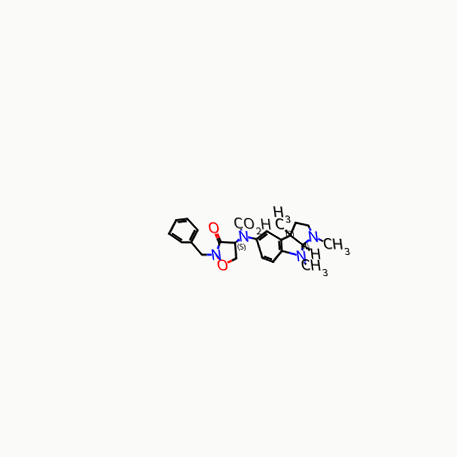 CN1CC[C@@]2(C)c3cc(N(C(=O)O)[C@H]4CON(Cc5ccccc5)C4=O)ccc3N(C)[C@@H]12